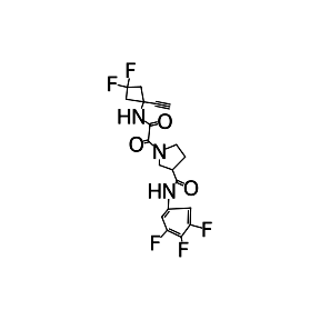 C#CC1(NC(=O)C(=O)N2CCC(C(=O)Nc3cc(F)c(F)c(F)c3)C2)CC(F)(F)C1